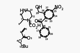 C=CC(=O)OC(C)(C)C.CC1CNCCN1C(=O)O.O=C(c1ccccc1)c1ccc([N+](=O)[O-])cc1CO